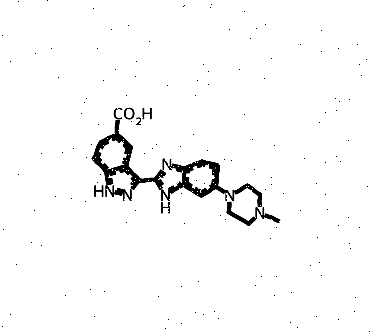 CN1CCN(c2ccc3nc(-c4n[nH]c5ccc(C(=O)O)cc45)[nH]c3c2)CC1